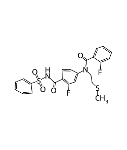 CSCCN(C(=O)c1ccccc1F)c1ccc(C(=O)NS(=O)(=O)c2ccccc2)c(F)c1